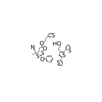 CC(C#N)(CCC(=O)OCCc1ccsc1)SC(=S)Oc1ccccc1.OCCc1cc(-c2cccs2)sc1-c1cccs1